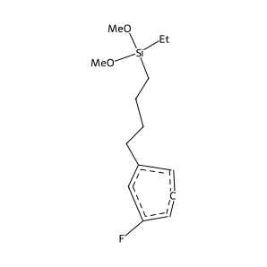 CC[Si](CCCCc1cccc(F)c1)(OC)OC